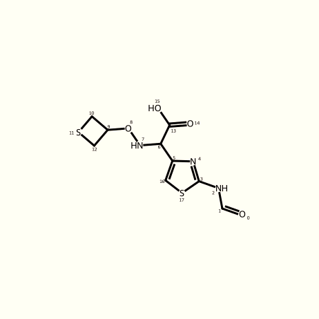 O=CNc1nc(C(NOC2CSC2)C(=O)O)cs1